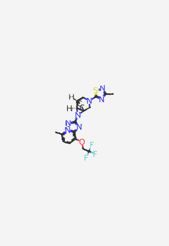 Cc1nsc(N2C[C@@H]3CC[C@]4(C2)[C@H]3N4c2nc3c(OCC(F)(F)F)ccc(C)n3n2)n1